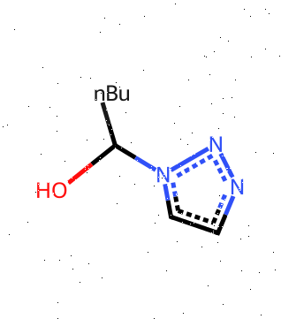 CCCCC(O)n1ccnn1